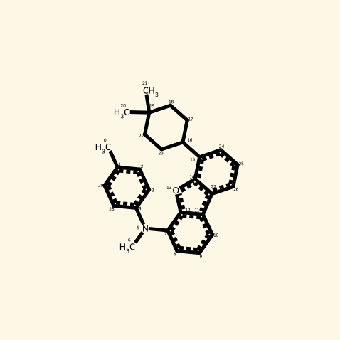 Cc1ccc(N(C)c2cccc3c2oc2c(C4CCC(C)(C)CC4)cccc23)cc1